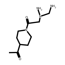 CC(=O)C1CCN(C(=O)CN(N)CN)CC1